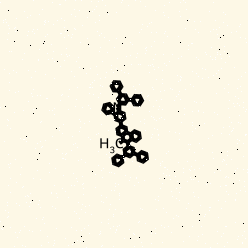 CC1c2ccc(-c3ccc4c(c3)c3ccccc3n4-c3cc(-c4ccccc4)cc(-c4ccccc4)c3)cc2C2=C(CCC=C2)C1c1cc(-c2ccccc2)cc(-c2ccccc2)c1